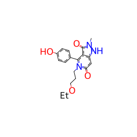 CCOCCCn1c(-c2ccc(O)cc2)c2c(=O)n(C)[nH]c2cc1=O